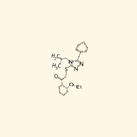 C=C(C)Cn1c(SCC(=O)c2ccccc2OCC)nnc1-c1ccccc1